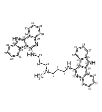 CN(CCCNc1nc2ccccc2c2[nH]c3ccccc3c12)CCCNc1nc2ccccc2c2[nH]c3ccccc3c12